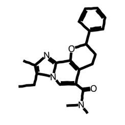 CCc1c(C)nc2c3c(c(C(=O)N(C)C)cn12)CCC(c1ccccc1)O3